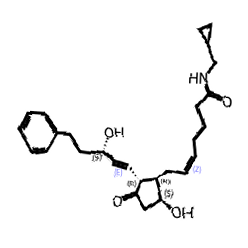 O=C(CCC/C=C\C[C@H]1[C@@H](O)CC(=O)[C@@H]1/C=C/[C@@H](O)CCc1ccccc1)NCC1CC1